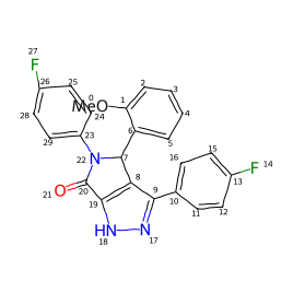 COc1ccccc1C1c2c(-c3ccc(F)cc3)n[nH]c2C(=O)N1c1ccc(F)cc1